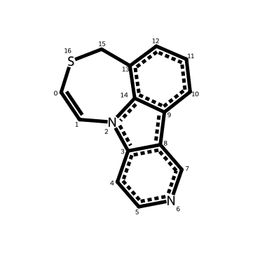 C1=Cn2c3ccncc3c3cccc(c32)CS1